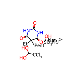 CCCC(C)C1(CC)C(=O)NC(=O)NC1=O.O=S(=O)(O)O.OC(O)C(Cl)(Cl)Cl.[Mg+2].[Na+]